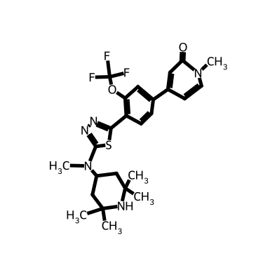 CN(c1nnc(-c2ccc(-c3ccn(C)c(=O)c3)cc2OC(F)(F)F)s1)C1CC(C)(C)NC(C)(C)C1